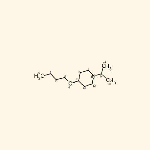 CCCCOC1CCN(C(C)C)CC1